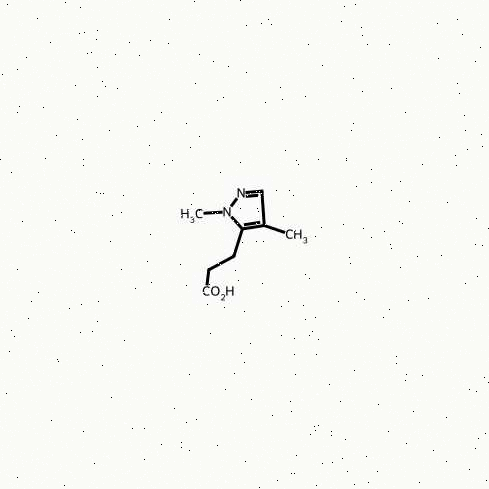 Cc1cnn(C)c1CCC(=O)O